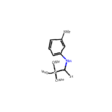 CCC(Nc1cccc(NC)c1)[Si](OC)(OC)OC